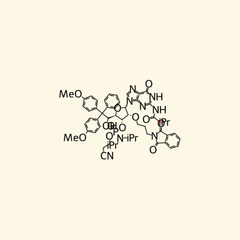 COc1ccc(C(c2ccccc2)(c2ccc(OC)cc2)C(O)[C@H]2O[C@@H](n3cnc4c(=O)[nH]c(NC(=O)C(C)C)nc43)[C@H](OCCCN3C(=O)c4ccccc4C3=O)[C@@H]2OP(=O)(OCCC#N)N(C(C)C)C(C)C)cc1